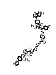 Cc1cc(-n2ccnc2)ccc1CSc1nnc(C(=O)N(C)CCOCCOCCC(=O)N2CCN(CC[C@H](NC(=O)C3(N)CCN(c4ncnc5[nH]ccc45)CC3)c3ccc(Cl)cc3)CC2)s1